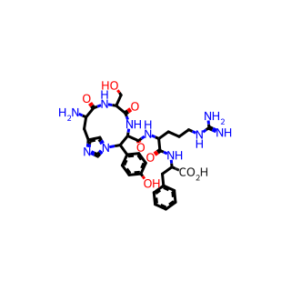 N=C(N)NCCCC(NC(=O)C1NC(=O)C(CO)NC(=O)C(N)Cc2cn(cn2)C1c1ccc(O)cc1)C(=O)NC(Cc1ccccc1)C(=O)O